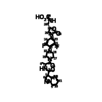 C[C@H](NC(=O)C1C=NN2C=CC=NC12)C(=O)N1CCN(c2c(F)cc(N3C[C@H](CNC(=O)O)OC3=O)cc2F)CC1